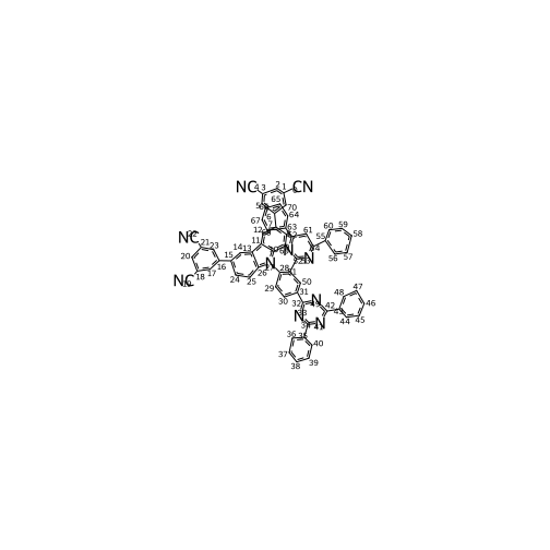 N#Cc1cc(C#N)cc(-c2ccc3c(c2)c2cc(-c4cc(C#N)cc(C#N)c4)ccc2n3-c2ccc(-c3nc(-c4ccccc4)nc(-c4ccccc4)n3)cc2-c2nc(-c3ccccc3)cc(-c3ccccc3)n2)c1